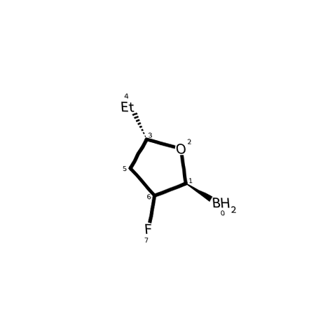 B[C@@H]1O[C@@H](CC)CC1F